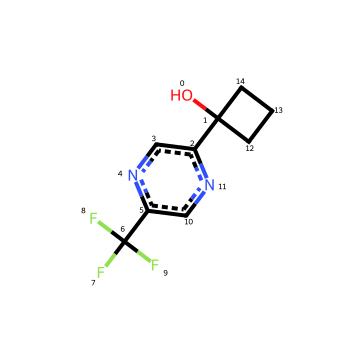 OC1(c2cnc(C(F)(F)F)cn2)CCC1